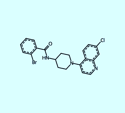 O=C(NC1CCN(c2ccnc3cc(Cl)ccc23)CC1)c1ccccc1Br